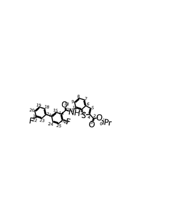 CC(C)OC(=O)c1cc2cccc(NC(=O)c3cc(-c4cccc(F)c4)ccc3F)c2s1